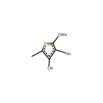 COc1sc(C)c(C#N)c1C(C)=O